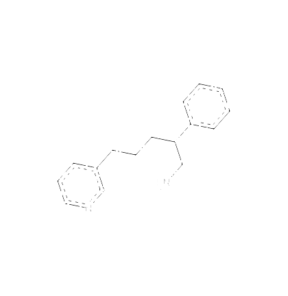 NCC(CCCc1cccnc1)c1ccccc1